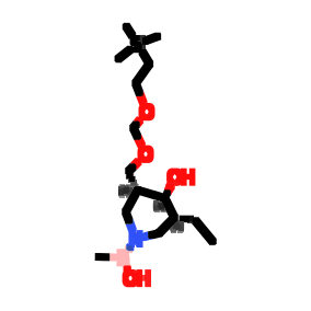 CC[C@@H]1CN(B(C)O)C[C@H](COCOCC[Si](C)(C)C)[C@H]1O